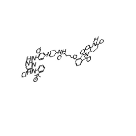 COc1cc(N2CCC(NC(=O)CCCCOc3cccc4c3C(=O)N(C3CCC(=O)NC3=O)C4=O)CC2)ccc1Nc1ncc(Cl)c(Nc2ccccc2P(C)(C)=O)n1